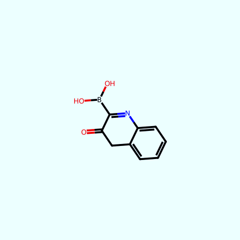 O=C1Cc2ccccc2N=C1B(O)O